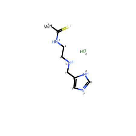 CNC(=S)NCCNCc1cnc[nH]1.Cl